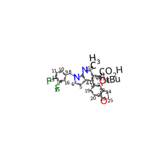 Cc1nc2c(ccn2Cc2ccc(F)c(F)c2)c(-c2ccc3c(c2)CCO3)c1[C@H](OC(C)(C)C)C(=O)O